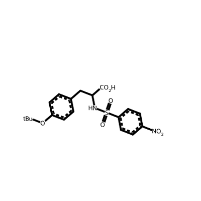 CC(C)(C)Oc1ccc(CC(NS(=O)(=O)c2ccc([N+](=O)[O-])cc2)C(=O)O)cc1